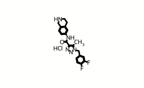 Cc1c(C(=O)Nc2ccc3c(c2)CCNC3)nnn1Cc1ccc(F)c(F)c1.Cl